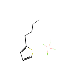 CCCCc1cccs1.F[B-](F)(F)F